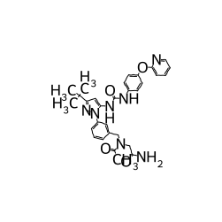 CC(=O)N(CC(N)=O)Cc1cccc(-n2nc(C(C)(C)C)cc2NC(=O)Nc2ccc(Oc3ccccn3)cc2)c1